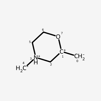 [CH2-][C+]1C[NH+]([CH2-])CCO1